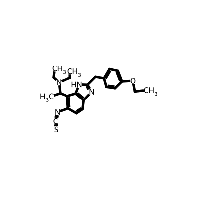 CCOc1ccc(Cc2nc3ccc(N=C=S)c(C(C)N(CC)CC)c3[nH]2)cc1